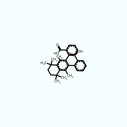 Cc1c(-c2ccccc2C(=O)O)c(-c2ccccc2C(=O)O)c(C)c2c1C(C)(C)CCC2(C)C